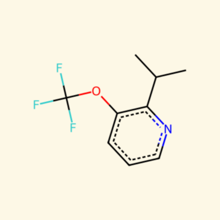 CC(C)c1ncccc1OC(F)(F)F